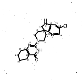 O=c1[nH]c(N2CCC3(CC2)CNc2cc(Cl)cnc23)nc2c1CCCC2